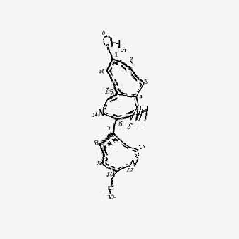 Cc1ccc2[nH]c(-c3ccc(F)nc3)nc2c1